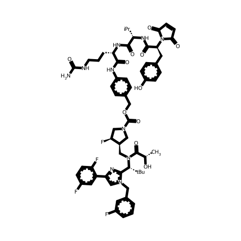 CC(C)[C@H](NC(=O)[C@H](Cc1ccc(O)cc1)N1C(=O)C=CC1=O)C(=O)N[C@@H](CCCNC(N)=O)C(=O)Nc1ccc(COC(=O)N2C[C@@H](CN(C(=O)[C@H](C)O)[C@@H](c3nc(-c4cc(F)ccc4F)cn3Cc3cccc(F)c3)C(C)(C)C)[C@@H](F)C2)cc1